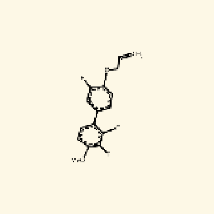 C=CCOc1ccc(-c2ccc(OC)c(F)c2F)cc1F